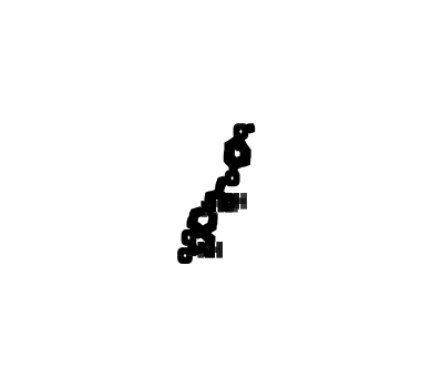 COc1ccc(OCC(O)CN2CCC3(CC2)CNC(=O)O3)cc1.Cl